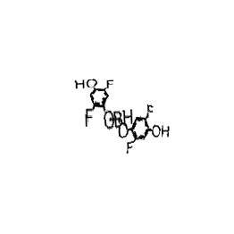 Oc1cc(F)c(OBOc2cc(F)c(O)cc2F)cc1F